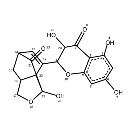 O=C1c2c(O)cc(O)cc2OC(C2=CC3[CH]C4COC(O)(C3=O)C24)C1O